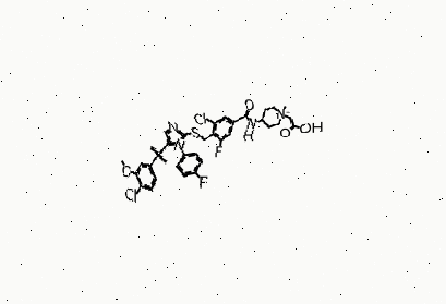 COc1cc(C(C)(C)c2cnc(SCc3c(F)cc(C(=O)NC4CC[N+](C)(CC(=O)O)CC4)cc3Cl)n2-c2ccc(F)cc2)ccc1Cl